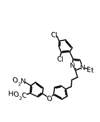 CCn1cc(-c2ccc(Cl)cc2Cl)nc1CCCc1ccc(Oc2ccc([N+](=O)[O-])c(C(=O)O)c2)cc1